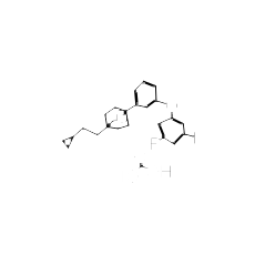 Fc1cc(F)cc(Oc2cccc(C34CCC(CCC5CC5)(CC3)CO4)c2)c1.O=C(O)O